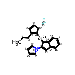 CCCC1=[C]([Zr+2][CH]2C(n3cccc3)=Cc3ccccc32)CC=C1.[F-].[F-]